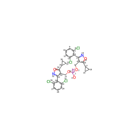 O=[PH](OCc1c(-c2c(Cl)cccc2Cl)noc1C1CC1)OCc1c(-c2c(Cl)cccc2Cl)noc1C1CC1